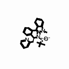 Cn1nc(-c2ccccc2[C@H](Cc2ccccn2)N[S@@+]([O-])C(C)(C)C)c2ccccc21